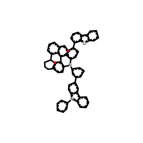 c1ccc(-n2c3ccccc3c3cc(-c4cccc(N(c5ccc(-c6cccc7c6oc6ccccc67)cc5)c5ccccc5-c5cccc6cccc(C7CCCCC7)c56)c4)ccc32)cc1